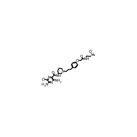 C[S+]([O-])CCNC(=O)COc1ccc(CCCN2CCCC(NC(=O)c3nc(Cl)c(N)nc3N)C2)cc1